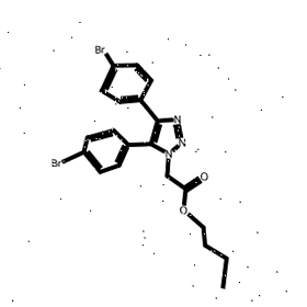 CCCCOC(=O)Cn1nnc(-c2ccc(Br)cc2)c1-c1ccc(Br)cc1